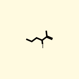 C=C(C)C(I)CCC